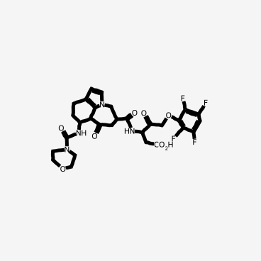 O=C(O)CC(NC(=O)C1CC(=O)C2c3c(ccn3C1)CCC2NC(=O)N1CCOCC1)C(=O)COc1c(F)c(F)cc(F)c1F